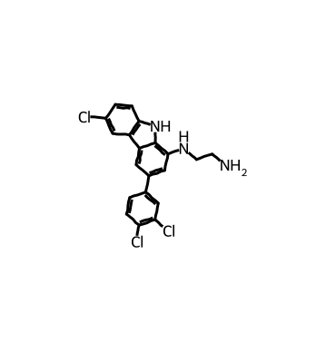 NCCNc1cc(-c2ccc(Cl)c(Cl)c2)cc2c1[nH]c1ccc(Cl)cc12